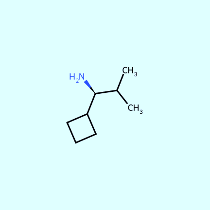 CC(C)[C@H](N)C1CCC1